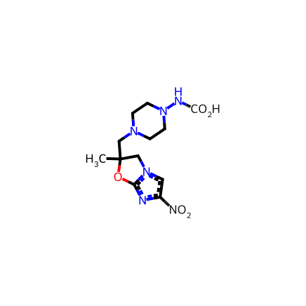 CC1(CN2CCN(NC(=O)O)CC2)Cn2cc([N+](=O)[O-])nc2O1